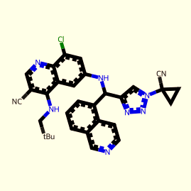 CC(C)(C)CNc1c(C#N)cnc2c(Cl)cc(NC(c3cn(C4(C#N)CC4)nn3)c3cccc4cnccc34)cc12